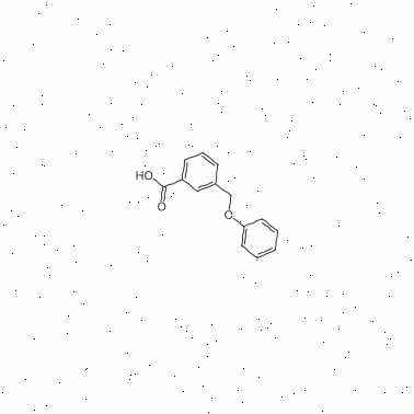 O=C(O)c1cccc(COc2c[c]ccc2)c1